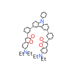 CCN(CC)c1ccc2cc(-c3cccc(-c4ccc5c(c4)c4cc(-c6cccc(-c7cc8ccc(N(CC)CC)cc8oc7=O)c6)ccc4n5-c4ccccc4)c3)c(=O)oc2c1